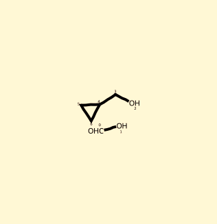 O=CO.OCC1CC1